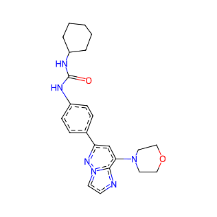 O=C(Nc1ccc(-c2cc(N3CCOCC3)c3nccn3n2)cc1)NC1CCCCC1